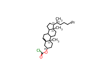 CC(C)CCC[C@H](C)[C@@H]1CCC2C3CC=C4C[C@H](OC(=O)Cl)CC[C@@]4(C)C3CC[C@]21C